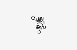 CNc1ccc(C(=O)NCC2(c3ccccc3)CCCC2)cc1S(=O)(=O)N1Cc2ccccc2C1